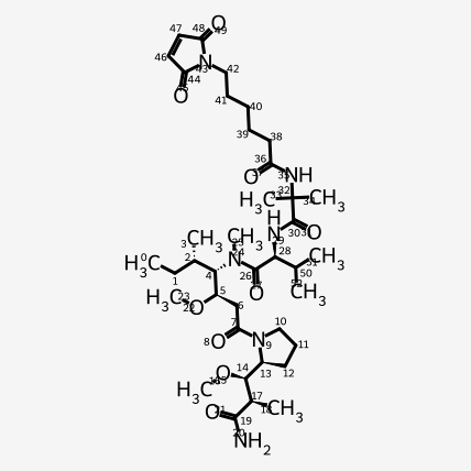 CC[C@H](C)[C@@H]([C@@H](CC(=O)N1CCC[C@H]1[C@H](OC)[C@@H](C)C(N)=O)OC)N(C)C(=O)[C@@H](NC(=O)C(C)(C)NC(=O)CCCCCN1C(=O)C=CC1=O)C(C)C